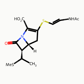 CSC(C)[C@H]1C(=O)N2C(C(=O)O)=C(S/C=C/NC(C)=O)C[C@H]12